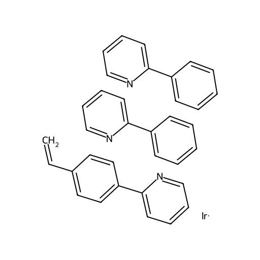 C=Cc1ccc(-c2ccccn2)cc1.[Ir].c1ccc(-c2ccccn2)cc1.c1ccc(-c2ccccn2)cc1